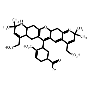 CC(C)C(=O)C1CC=C(C(=O)O)C(C2=C3C=C4C(CS(=O)(=O)O)=CC(C)(C)N=C4CC3OC3=C2CC2C(CS(=O)(=O)O)=CC(C)(C)NC2C3)C1